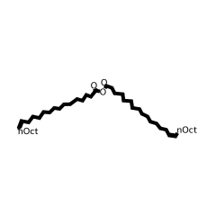 CCCCCCCC/C=C\CCCCCCCCCCCCCC(=O)OC(=O)CCCCCCCCCCCCC/C=C\CCCCCCCC